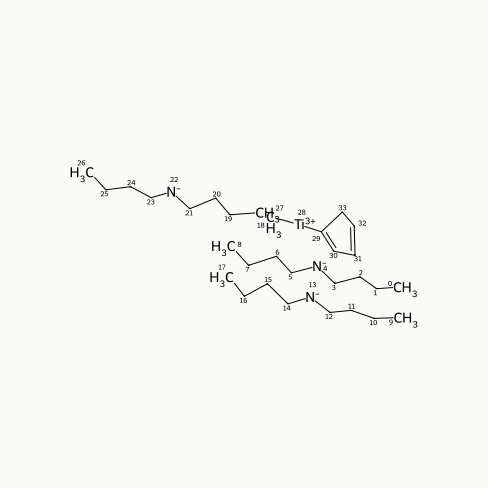 CCCC[N-]CCCC.CCCC[N-]CCCC.CCCC[N-]CCCC.[CH3][Ti+3][C]1=CC=CC1